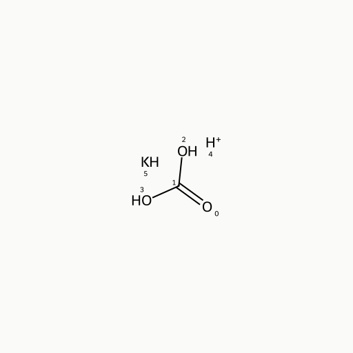 O=C(O)O.[H+].[KH]